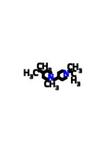 CC(C)C1CCN(CC2CCN(C(C)C)CC2)C(C)C1